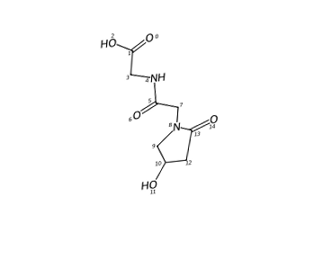 O=C(O)CNC(=O)CN1CC(O)CC1=O